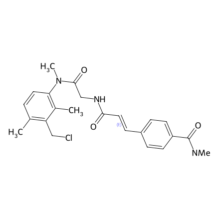 CNC(=O)c1ccc(/C=C/C(=O)NCC(=O)N(C)c2ccc(C)c(CCl)c2C)cc1